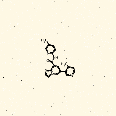 Cc1ccc(NC(=O)c2cc(-c3cnccc3C)cn3ccnc23)nc1